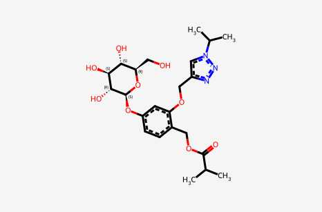 CC(C)C(=O)OCc1ccc(O[C@@H]2O[C@H](CO)[C@@H](O)[C@H](O)[C@H]2O)cc1OCc1cn(C(C)C)nn1